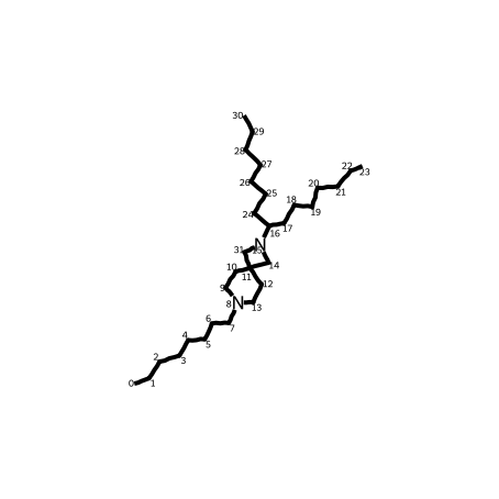 CCCCCCCCN1CCC2(CC1)CN(C(CCCCCCC)CCCCCCC)C2